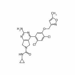 Cc1cc(COc2cc(-c3nc(N)nc4c3CN(C(=O)NC3CC3)C4)c(Cl)cc2Cl)no1